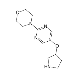 c1nc(N2CCOCC2)ncc1OC1CCNC1